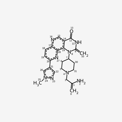 C=C(N)CN1CCC(N2C(=C)NC(=O)c3cnc4ccc(-c5cnn(C)c5)nc4c32)CC1